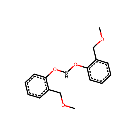 COCc1ccccc1OBOc1ccccc1COC